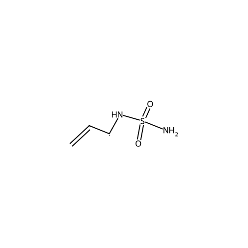 C=C[CH]NS(N)(=O)=O